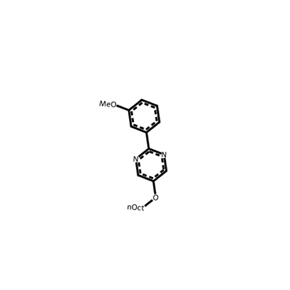 CCCCCCCCOc1cnc(-c2cccc(OC)c2)nc1